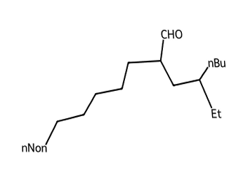 CCCCCCCCCCCCCCC(C=O)CC(CC)CCCC